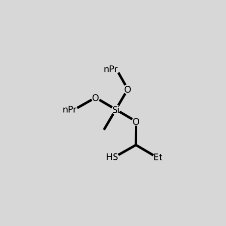 CCCO[Si](C)(OCCC)OC(S)CC